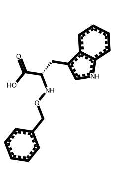 O=C(O)[C@H](Cc1c[nH]c2ccccc12)NOCc1ccccc1